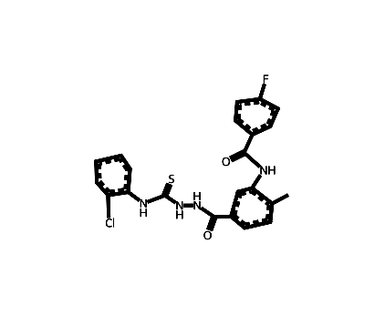 Cc1ccc(C(=O)NNC(=S)Nc2ccccc2Cl)cc1NC(=O)c1ccc(F)cc1